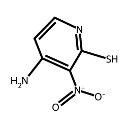 Nc1ccnc(S)c1[N+](=O)[O-]